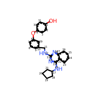 Oc1ccc(Oc2cccc(CNc3nc(NC4CCCC4)c4ccccc4n3)c2)cc1